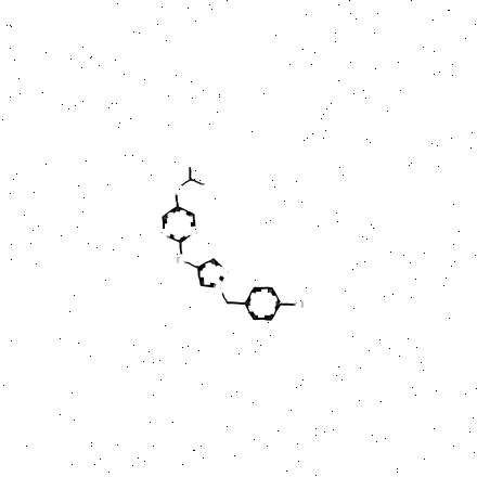 Nc1ccc(Cn2cc(Nc3ncc(OC(F)F)cn3)cn2)cc1